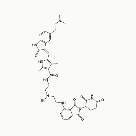 CCN(CCNC(=O)c1c(C)[nH]c(/C=C2\C(=O)Nc3ccc(CCN(C)C)cc32)c1C)CCNc1cccc2c1C(=O)N(C1CCC(=O)NC1=O)C2=O